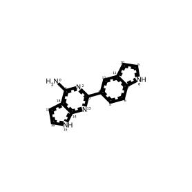 Nc1nc(-c2ccc3[nH]ccc3c2)nc2[nH]ccc12